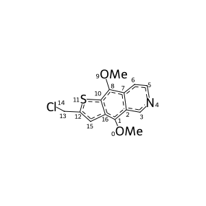 COc1c2cnccc2c(OC)c2sc(CCl)cc12